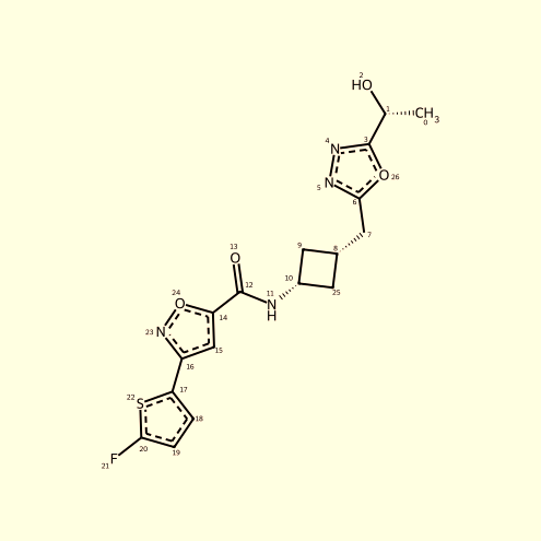 C[C@@H](O)c1nnc(C[C@H]2C[C@@H](NC(=O)c3cc(-c4ccc(F)s4)no3)C2)o1